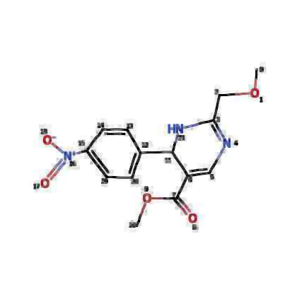 COCC1=NC=C(C(=O)OC)C(c2ccc([N+](=O)[O-])cc2)N1